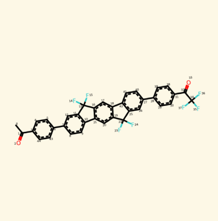 CC(=O)c1ccc(-c2ccc3c(c2)C(F)(F)c2cc4c(cc2-3)C(F)(F)c2cc(-c3ccc(C(=O)C(F)(F)F)cc3)ccc2-4)cc1